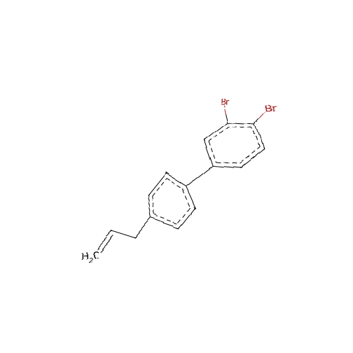 C=CCc1ccc(-c2ccc(Br)c(Br)c2)cc1